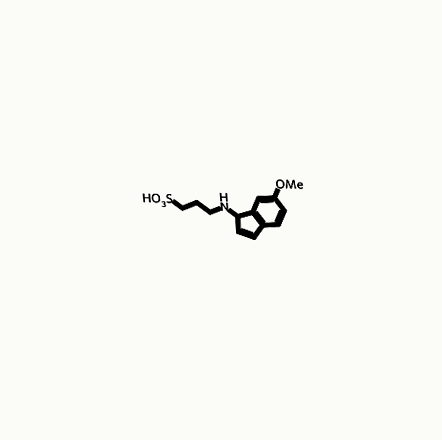 COc1ccc2c(c1)C(NCCCS(=O)(=O)O)C=C2